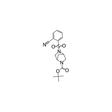 CC(C)(C)OC(=O)N1CC2CC1CN2S(=O)(=O)c1ccccc1C#N